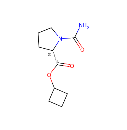 NC(=O)N1CCC[C@H]1C(=O)OC1CCC1